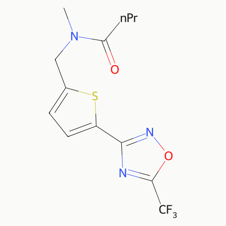 CCCC(=O)N(C)Cc1ccc(-c2noc(C(F)(F)F)n2)s1